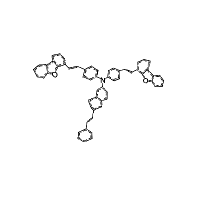 C(=C\c1ccc2cc(N(c3ccc(/C=C/c4cccc5c4oc4ccccc45)cc3)c3ccc(/C=C/c4cccc5c4oc4ccccc45)cc3)ccc2c1)/c1ccccc1